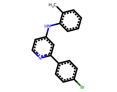 Cc1ccccc1Nc1ccnc(-c2ccc(Br)cc2)c1